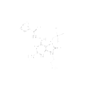 Nc1nc(NNC(=O)c2ccco2)c2c(n1)n(CCO)c(=O)n2CC(F)(F)F